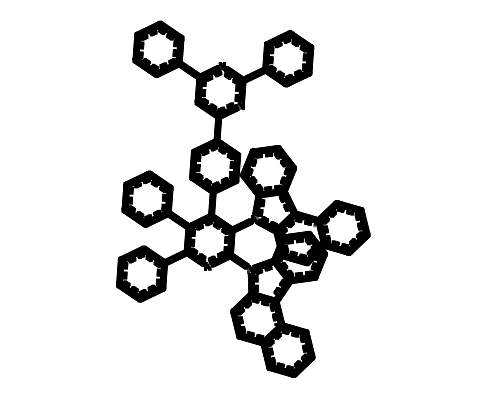 c1ccc(-c2cc(-c3ccc(-c4c(-c5ccccc5)c(-c5ccccc5)nc(-n5c6ccccc6c6c7ccccc7ccc65)c4-n4c5ccccc5c5c6ccccc6ccc54)cc3)nc(-c3ccccc3)n2)cc1